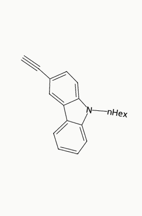 C#Cc1ccc2c(c1)c1ccccc1n2CCCCCC